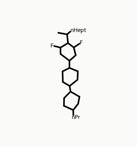 CCCCCCCC(C)C1C(F)CC(C2CCC(C3CCC(CCC)CC3)CC2)CC1F